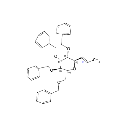 C/C=C/[C@H]1O[C@H](COCc2ccccc2)[C@@H](OCc2ccccc2)[C@H](OCc2ccccc2)[C@@H]1OCc1ccccc1